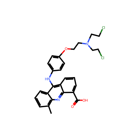 Cc1cccc2c(Nc3ccc(OCCN(CCCl)CCCl)cc3)c3cccc(C(=O)O)c3nc12